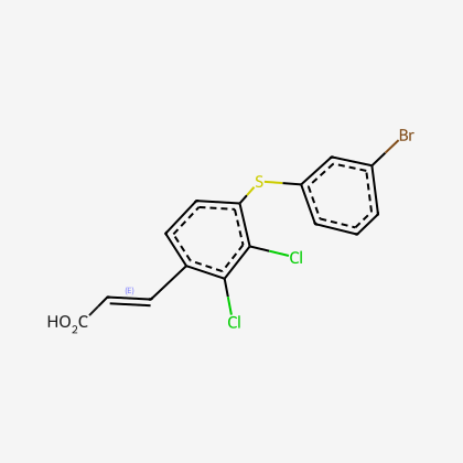 O=C(O)/C=C/c1ccc(Sc2cccc(Br)c2)c(Cl)c1Cl